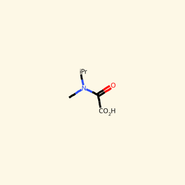 CC(C)N(C)C(=O)C(=O)O